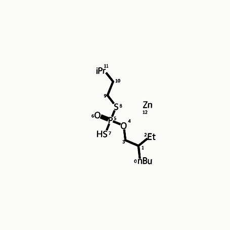 CCCCC(CC)COP(=O)(S)SCCC(C)C.[Zn]